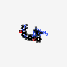 CN1CCN(C(=O)C2CCN(Cc3ccc(C(=O)NN(c4nc(N)nc5c4ncn5C)C4CCCCC4)cc3)CC2)CC1